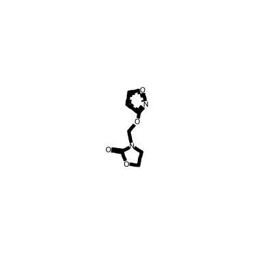 O=C1OCCN1COc1ccon1